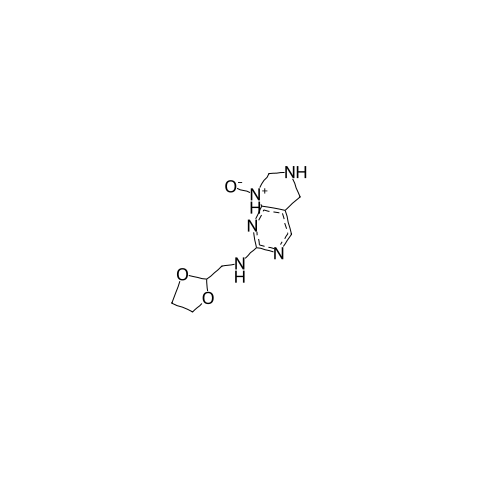 [O-][NH+]1CNCc2cnc(NCC3OCCO3)nc21